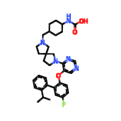 CC(C)c1ccccc1-c1cc(F)ccc1Oc1cncnc1N1CCC2(CCN(CC3CCC(NC(=O)O)CC3)C2)C1